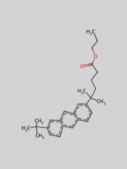 CCCOC(=O)CCCC(C)(C)c1ccc2cc3ccc(C(C)(C)C)cc3cc2c1